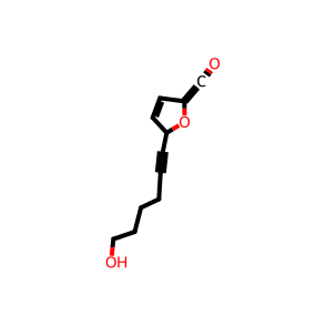 O=C=C1C=CC(C#CCCCCO)O1